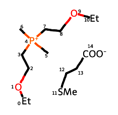 CCOCC[P+](C)(C)CCOCC.CSCCC(=O)[O-]